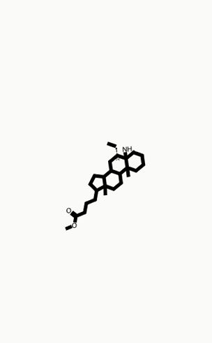 CC[C@H]1CC2C3CCC(CCCC(=O)OC)C3(C)CCC2C2(C)CCCCC12N